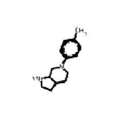 Cc1ccc(N2CCC3CCNC3C2)cc1